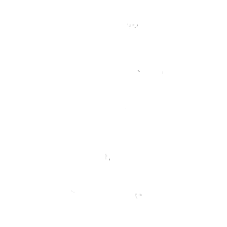 CNC(=O)Cc1ccc2ncc(Br)n2c1